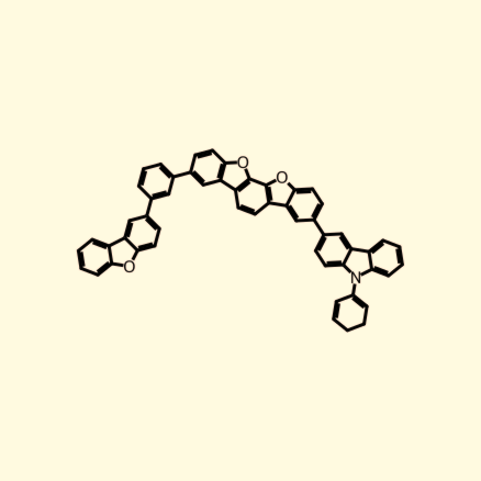 C1=CC(n2c3ccccc3c3cc(-c4ccc5oc6c(ccc7c8cc(-c9cccc(-c%10ccc%11oc%12ccccc%12c%11c%10)c9)ccc8oc76)c5c4)ccc32)=CCC1